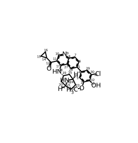 COc1cc(-c2ccc3ncc(C(=O)C4CC4)c(N[C@H]4C[C@H]5CC[C@@H](C4)N5)c3c2)cc(Cl)c1O